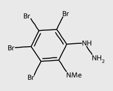 CNc1c(Br)c(Br)c(Br)c(Br)c1NN